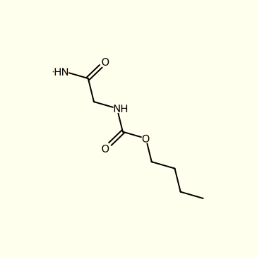 CCCCOC(=O)NCC([NH])=O